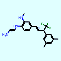 CNc1cc(/C=C/C(c2cc(C)cc(C)c2)C(F)(F)F)ccc1N/C=C/N